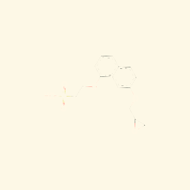 O=S(=O)(O)CCOc1cccc2ccc(OCC3CO3)cc12